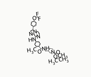 Cc1cc(Nc2nccn3c(-c4ccc(OC(F)F)cc4)cnc23)ccc1C(=O)NCC1CCN(C(=O)OC(C)(C)C)C1